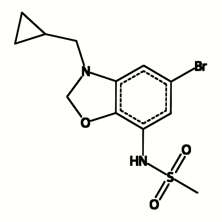 CS(=O)(=O)Nc1cc(Br)cc2c1OCN2CC1CC1